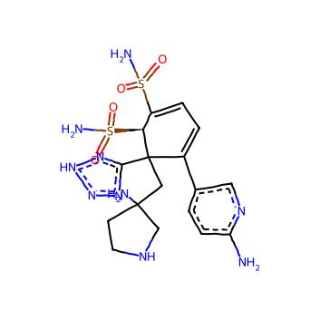 Nc1ccc(C2=CC=C(S(N)(=O)=O)[C@H](S(N)(=O)=O)C2(CC2(N)CCNC2)c2nn[nH]n2)cn1